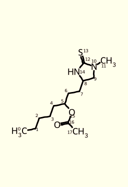 CCCCCC(CCC1CN(C)C(=S)N1)OC(C)=O